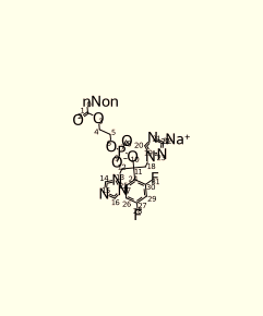 CCCCCCCCCC(=O)OCCOP(=O)([O-])OC(Cn1cncn1)(Cn1cncn1)c1ccc(F)cc1F.[Na+]